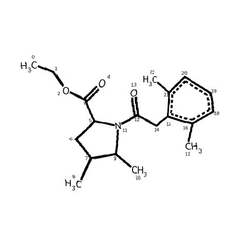 CCOC(=O)C1CC(C)C(C)N1C(=O)Cc1c(C)cccc1C